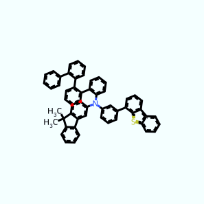 CC1(C)c2ccccc2-c2cc(N(c3cccc(-c4cccc5c4sc4ccccc45)c3)c3ccccc3-c3ccccc3-c3ccccc3-c3ccccc3)ccc21